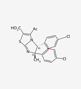 CC(=O)C1=C(C(=O)O)SC2=N[C@@](C)(c3ccc(Cl)cc3)[C@@H](c3ccc(Cl)cc3)N21